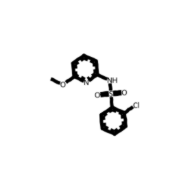 COc1cccc(NS(=O)(=O)c2ccccc2Cl)n1